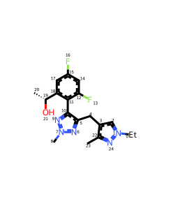 CCn1cc(Cc2nn(C)nc2-c2c(F)cc(F)cc2[C@@H](C)O)c(C)n1